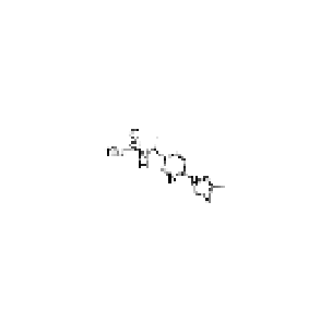 Cc1cn(-c2ccc([C@H](C)N[S@+]([O-])C(C)(C)C)cn2)cn1